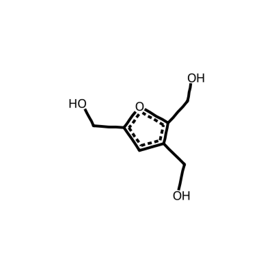 OCc1cc(CO)c(CO)o1